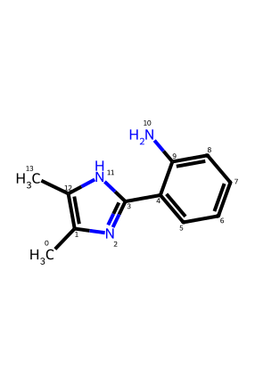 Cc1nc(-c2ccccc2N)[nH]c1C